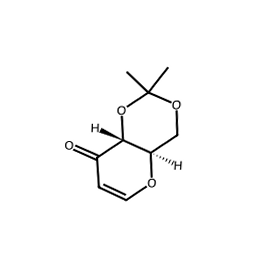 CC1(C)OC[C@H]2OC=CC(=O)[C@@H]2O1